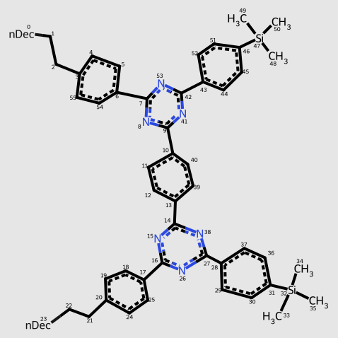 CCCCCCCCCCCCc1ccc(-c2nc(-c3ccc(-c4nc(-c5ccc(CCCCCCCCCCCC)cc5)nc(-c5ccc([Si](C)(C)C)cc5)n4)cc3)nc(-c3ccc([Si](C)(C)C)cc3)n2)cc1